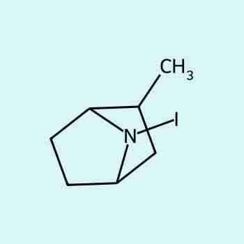 CC1CC2CCC1N2I